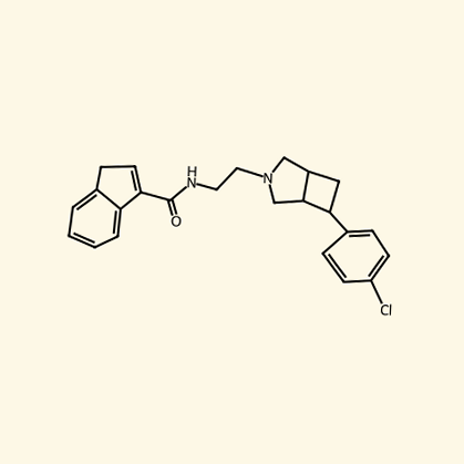 O=C(NCCN1CC2CC(c3ccc(Cl)cc3)C2C1)C1=CCc2ccccc21